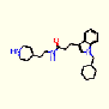 O=C(CCc1cn(CC2CCCCC2)c2ccccc12)NCCC1CCNCC1